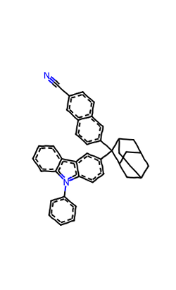 N#Cc1ccc2cc(C3(c4ccc5c(c4)c4ccccc4n5-c4ccccc4)C4CC5CC(C4)CC3C5)ccc2c1